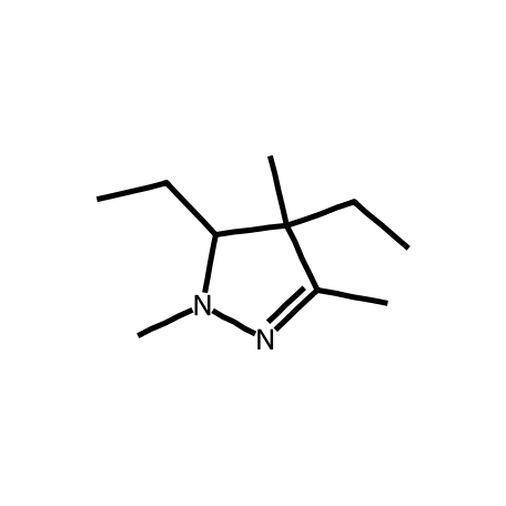 CCC1N(C)N=C(C)C1(C)CC